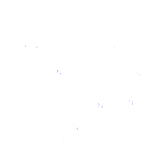 CCc1ncnc(N2CCN(C(C)C)CC2)c1-c1ccc(N)nc1